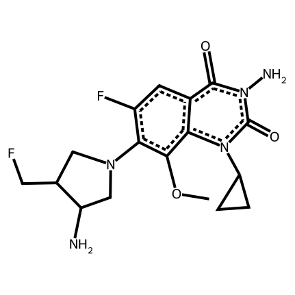 COc1c(N2CC(N)C(CF)C2)c(F)cc2c(=O)n(N)c(=O)n(C3CC3)c12